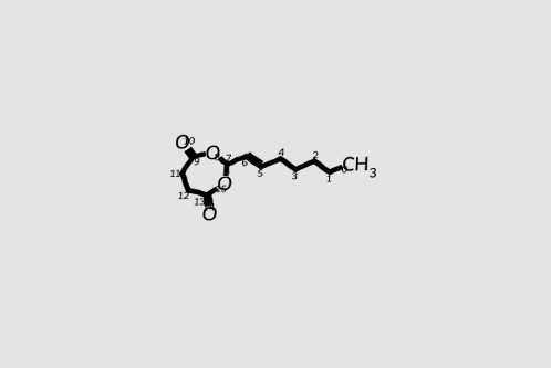 CCCCCC=CC1OC(=O)CCC(=O)O1